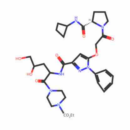 CCOC(=O)N1CCN(C(=O)C(CC(O)CO)NC(=O)c2cc(OCC(=O)N3CCC[C@H]3C(=O)NC3CCC3)n(-c3ccccc3)n2)CC1